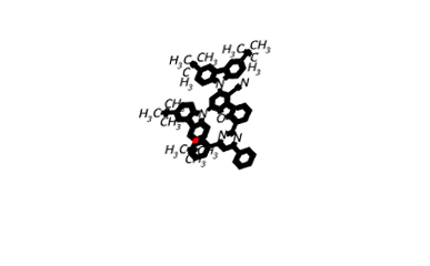 CC(C)(C)c1ccc2c(c1)c1cc(C(C)(C)C)ccc1n2-c1cc(-n2c3ccc(C(C)(C)C)cc3c3cc(C(C)(C)C)ccc32)c2oc3c(-c4nc(-c5ccccc5)cc(-c5ccccc5)n4)cccc3c2c1C#N